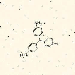 Nc1ccc(C(c2ccc(N)cc2)c2ccc(I)cc2)cc1